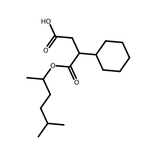 CC(C)CCC(C)OC(=O)C(CC(=O)O)C1CCCCC1